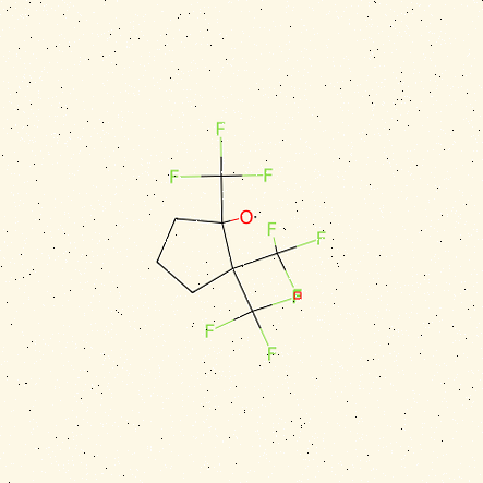 [O]C1(C(F)(F)F)CCCC1(C(F)(F)F)C(F)(F)F